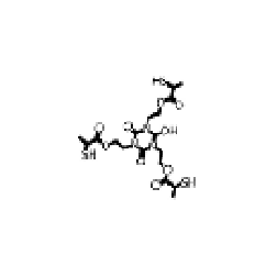 CC(S)C(=O)OCCN1C(=O)N(CCOC(=O)C(C)S)C(O)N(CCOC(=O)C(C)S)C1=O